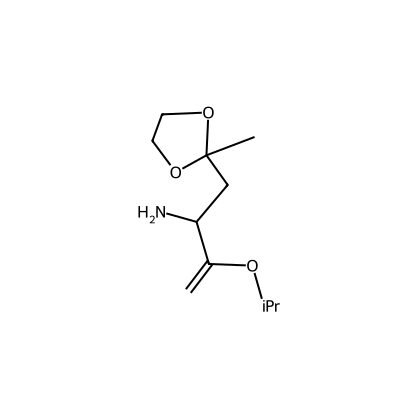 C=C(OC(C)C)C(N)CC1(C)OCCO1